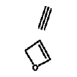 C#C.C1=COC1